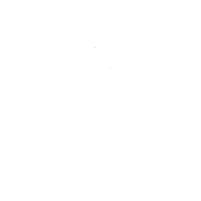 CCC[CH]O[Si](C)(C)C(C)(C)C